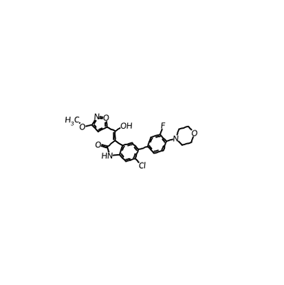 COc1cc(C(O)=C2C(=O)Nc3cc(Cl)c(-c4ccc(N5CCOCC5)c(F)c4)cc32)on1